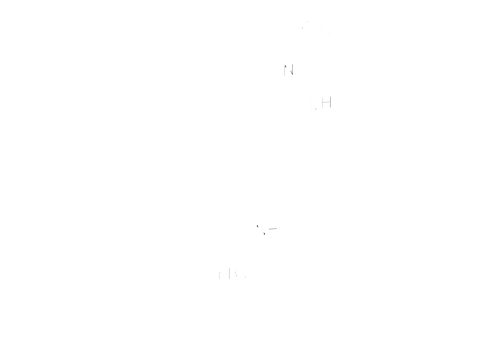 CCCCNc1cccc(CN(C)C)c1